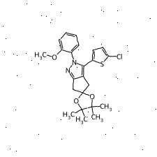 COc1ccccc1-n1nc2c(c1-c1ccc(Cl)s1)CC1(C2)OC(C)(C)C(C)(C)O1